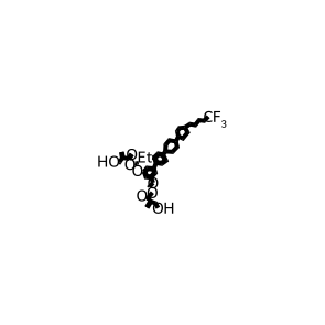 C=C(CO)C(=O)OCOc1cc(OCOC(=O)C(=C)CO)cc(-c2ccc(C3CCC(C4CCC(CCCCC(F)(F)F)CC4)CC3)cc2CC)c1